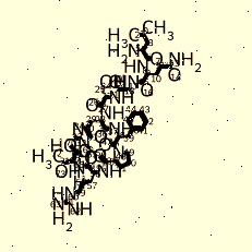 CC(C)C[C@H](N)C(=O)N[C@@H](CCC(N)=O)C(=O)NCC(=O)N[C@@H](CO)C(=O)N[C@@H](Cc1c[nH]cn1)C(=O)N[C@@H](Cc1ccccc1)C(=O)N1CCC[C@H]1C(=O)N[C@@H](CCCNC(=N)N)C(=O)N[C@H](C(=O)O)[C@@H](C)O